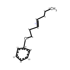 CCC/C=C/CCOc1cc[c]cc1